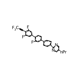 CCCc1cnc(-c2ccc(-c3ccc(-c4cc(F)c(C#CC(F)(F)F)c(F)c4)c(F)c3)cc2)nc1